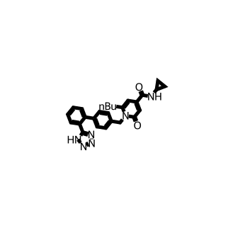 CCCCc1cc(C(=O)NC2CC2)cc(=O)n1Cc1ccc(-c2ccccc2-c2nnn[nH]2)cc1